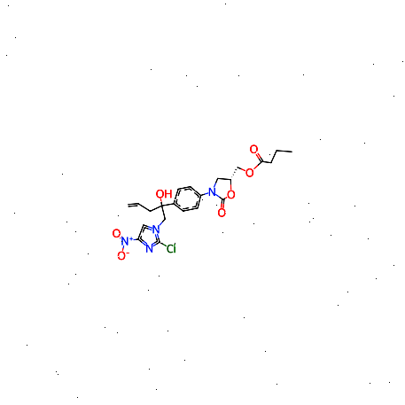 C=CCC(O)(Cn1cc([N+](=O)[O-])nc1Cl)c1ccc(N2C[C@H](COC(=O)CCC)OC2=O)cc1